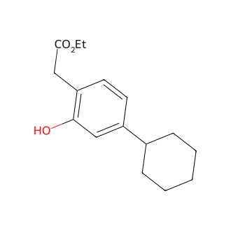 CCOC(=O)Cc1ccc(C2CCCCC2)cc1O